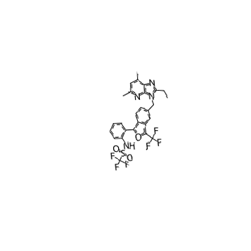 CCc1nc2c(C)cc(C)nc2n1Cc1ccc2c(-c3ccccc3NS(=O)(=O)C(F)(F)F)oc(C(F)(F)F)c2c1